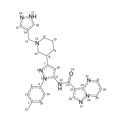 Cc1ccc(-n2nc(C3CCCN(Cc4cn[nH]c4)C3)cc2NC(=O)c2cnn3cccnc23)cc1